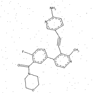 Cc1nccc(-c2ccc(F)c(C(=O)N3CCOCC3)c2)c1C#Cc1ccc(N)nc1